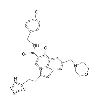 O=C(NCc1ccc(Cl)cc1)c1cn2c(CCc3nnn[nH]3)cc3cc(CN4CCOCC4)cc(c1=O)c32